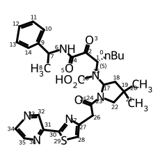 CCCC[C@@H](C(=O)C(=O)NC(C)c1ccccc1)N(C(=O)O)C1CC(C)(C)CN1C(=O)Cc1csc(-c2cnccn2)n1